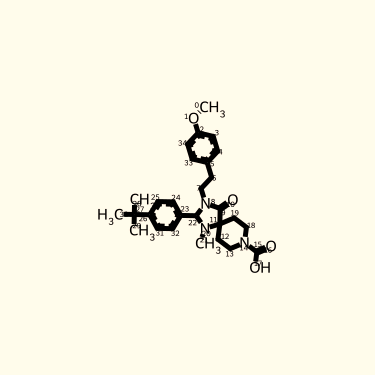 COc1ccc(CCN2C(=O)C3(CCN(C(=O)O)CC3)N(C)C2c2ccc(C(C)(C)C)cc2)cc1